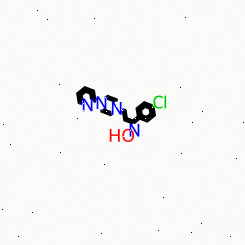 O/N=C(\CCN1CCN(c2ccccn2)CC1)c1ccc(Cl)cc1